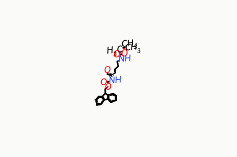 CC(C)(C)OC(=O)NCCCC[C@H](C=O)NC(=O)OCC1c2ccccc2-c2ccccc21